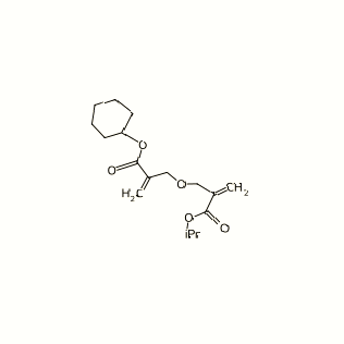 C=C(COCC(=C)C(=O)OC1CCCCC1)C(=O)OC(C)C